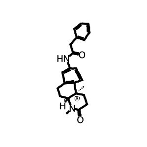 CN1C(=O)CC[C@]2(C)c3ccc(NC(=O)Cc4ccccc4)cc3CC[C@@H]12